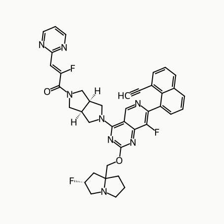 C#Cc1cccc2cccc(-c3ncc4c(N5C[C@H]6CN(C(=O)/C(F)=C/c7ncccn7)C[C@H]6C5)nc(OCC56CCCN5C[C@H](F)C6)nc4c3F)c12